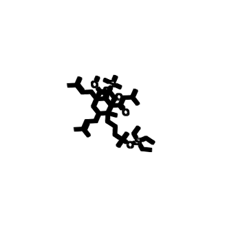 CC[Si](CC)(CC)OC(C)(C)CCCC1(C)C(CC=C(C)C)CC2(CC=C(C)C)C(=O)C1(C(=O)CC(C)C)C(=O)C([Si](C)(C)C)=C2OC